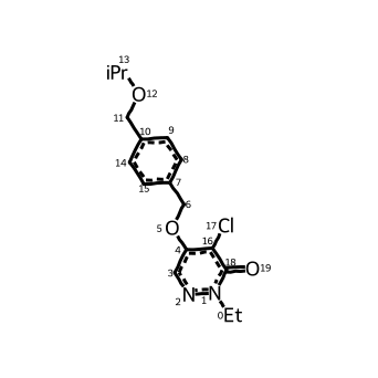 CCn1ncc(OCc2ccc(COC(C)C)cc2)c(Cl)c1=O